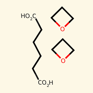 C1COC1.C1COC1.O=C(O)CCCCC(=O)O